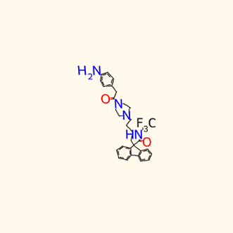 Nc1ccc(CC(=O)N2CCN(CCCCC3(C(=O)NCC(F)(F)F)c4ccccc4-c4ccccc43)CC2)cc1